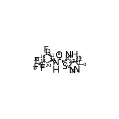 Cc1nnc2sc(C(=O)Nc3cc(F)cc(C(F)(F)F)c3)c(N)c2c1C